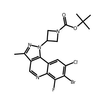 Cc1nn(C2CN(C(=O)OC(C)(C)C)C2)c2c1cnc1c(F)c(Br)c(Cl)cc12